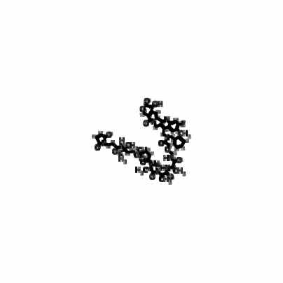 Cc1cc2c(CN(Cc3ccccc3)C(=O)COCNC(=O)[C@H](C)NC(=O)[C@@H](C)NC(=O)[C@H](C)NC(=O)CCC(C)(C)OCCC(C)(C)NC(=O)CCN3C(=O)C=CC3=O)c3c(nc2cc1F)-c1cc2c(c(=O)n1C3)COC(=O)[C@H]2O